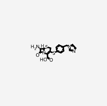 N[C@@H]1C(=O)N2C(C(=O)O)=C(Sc3ccc(Cn4ccnc4)cc3)CS[C@@H]12